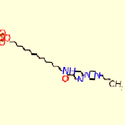 CCCCN1CCN(c2ccc(C(=O)NCCCCCCCCCCCCCCCOS(C)(=O)=O)cn2)CC1